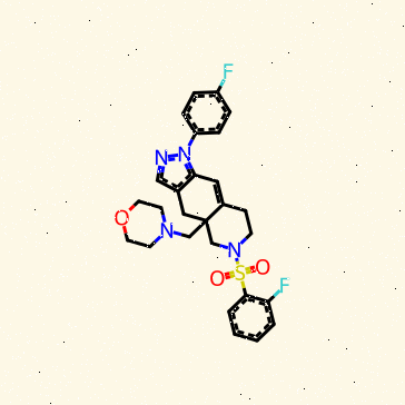 O=S(=O)(c1ccccc1F)N1CCC2=Cc3c(cnn3-c3ccc(F)cc3)CC2(CN2CCOCC2)C1